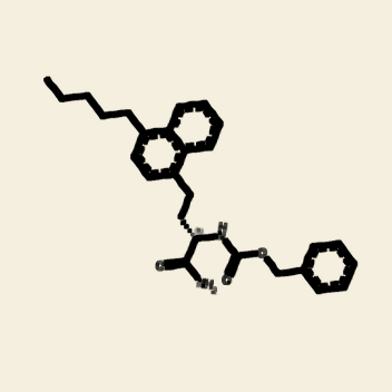 CCCCCc1ccc(CC[C@H](NC(=O)OCc2ccccc2)C(N)=O)c2ccccc12